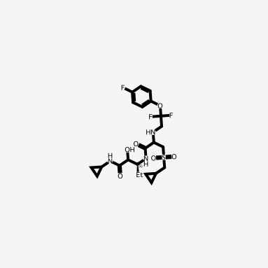 CC[C@H](NC(=O)C(CS(=O)(=O)CC1CC1)NCC(F)(F)Oc1ccc(F)cc1)C(O)C(=O)NC1CC1